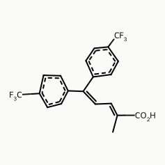 CC(=CC=C(c1ccc(C(F)(F)F)cc1)c1ccc(C(F)(F)F)cc1)C(=O)O